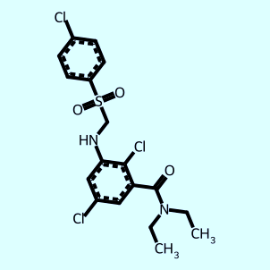 CCN(CC)C(=O)c1cc(Cl)cc(NCS(=O)(=O)c2ccc(Cl)cc2)c1Cl